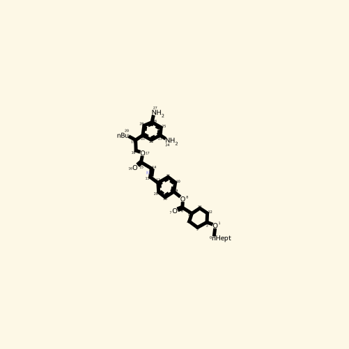 CCCCCCCOC1CCC(C(=O)Oc2ccc(/C=C/C(=O)OCC(CCCC)c3cc(N)cc(N)c3)cc2)CC1